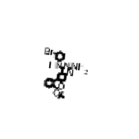 CC(C)(C)OC(=O)c1ccccc1-c1ccc2nc(N)nc(Nc3cccc(Br)c3)c2c1